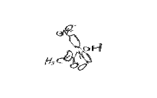 COC(=O)CN1C(=O)C=CC1(O)c1ccc([N+](=O)[O-])cc1